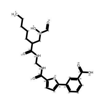 CCCCCC(CN(O)C=O)C(=O)NCNC(=O)c1ccc(-c2cccc(C(=O)O)c2)o1